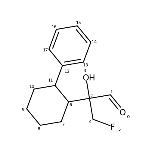 O=CC(O)(CF)C1CCCCC1c1ccccc1